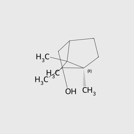 CC1(O)CC2CC[C@]1(C)C2(C)C